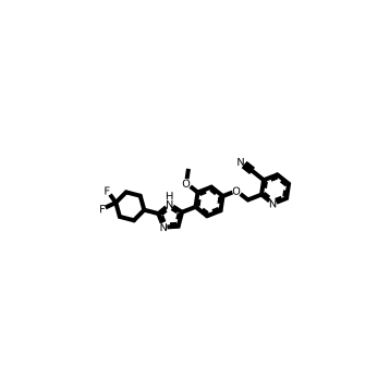 COc1cc(OCc2ncccc2C#N)ccc1-c1cnc(C2CCC(F)(F)CC2)[nH]1